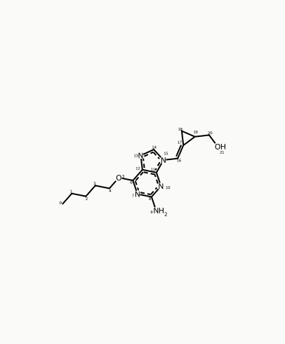 CCCCCOc1nc(N)nc2c1ncn2C=C1CC1CO